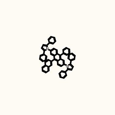 c1ccc(-c2c3ccc(-n4c(-c5ccccc5)ccc4-c4ccccc4)cc3c(-c3ccc4ccccc4c3)c3ccc(-n4c(-c5ccccc5)ccc4-c4ccccc4)cc23)cc1